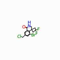 O=C1NCC2(CC(F)(F)C2)c2c(Br)cc(CCl)cc21